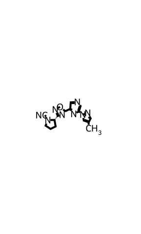 Cc1cnn(-c2cncc(-c3nc([C@@H]4CCCN4C#N)no3)n2)c1